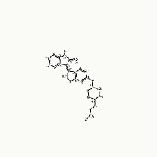 COCCN1CCN(Cc2ccc3c(c2)COC3=C2C(=O)Nc3ccccc32)CC1